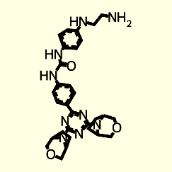 NCCNc1ccc(NC(=O)Nc2ccc(-c3nc(N4C5CCC4COC5)nc(N4C5CCC4COC5)n3)cc2)cc1